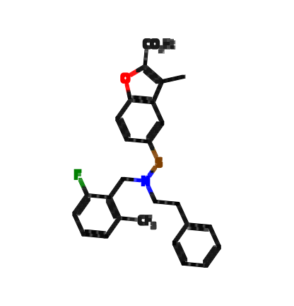 CCOC(=O)c1oc2ccc(SN(CCc3ccccc3)Cc3c(F)cccc3C(F)(F)F)cc2c1C